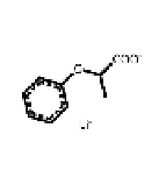 CC(Oc1ccccc1)C(=O)[O-].[Li+]